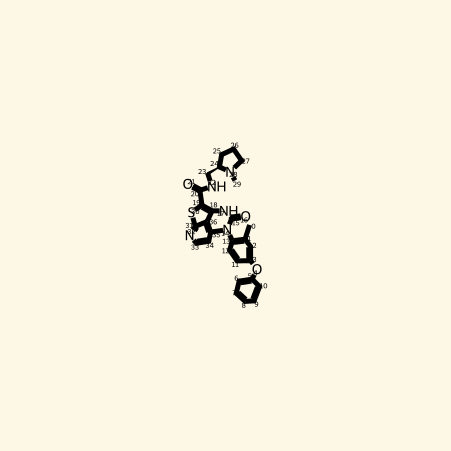 Cc1cc(Oc2ccccc2)ccc1N1C(=O)Nc2c(C(=O)NC[C@H]3CCCN3C)sc3nccc1c23